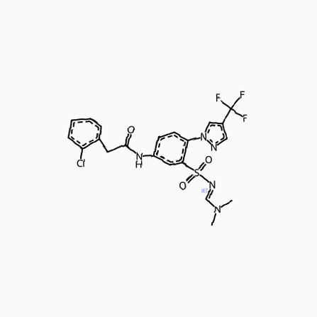 CN(C)/C=N/S(=O)(=O)c1cc(NC(=O)Cc2ccccc2Cl)ccc1-n1cc(C(F)(F)F)cn1